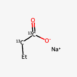 CC[13CH2][13C](=O)[O-].[Na+]